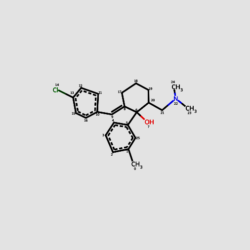 Cc1cccc(C2(O)C(=Cc3ccc(Cl)cc3)CCCC2CN(C)C)c1